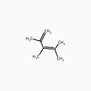 C=C(C)C(C)=C(C)C